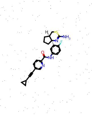 NC1=N[C@@]2(c3cc(NC(=O)c4ccc(C#CC5CC5)cn4)ccc3F)CCC[C@H]2CS1